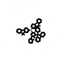 CC1(C)c2ccccc2-c2ccc(N(c3ccc4c(c3)C(C)(C)c3ccccc3-4)c3cc(C4(c5ccccc5)c5ccccc5-c5ccccc54)c4oc5ccccc5c4c3)cc21